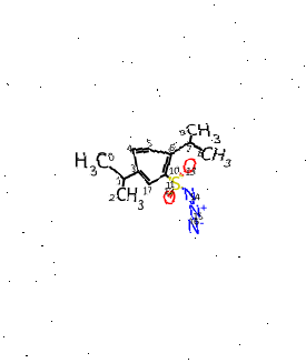 CC(C)c1ccc(C(C)C)c(S(=O)(=O)N=[N+]=[N-])c1